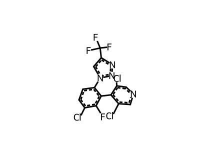 Fc1c(Cl)ccc(-n2cc(C(F)(F)F)nn2)c1-c1c(Cl)cncc1Cl